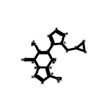 CC(C)c1c(-c2ccnn2CC2CC2)[nH]c2c(C#N)cnn2c1=O